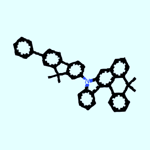 CC1(C)c2cc(-c3ccccc3)ccc2-c2ccc(-n3c4ccccc4c4c5c6c(cccc6cc43)C(C)(C)c3ccccc3-5)cc21